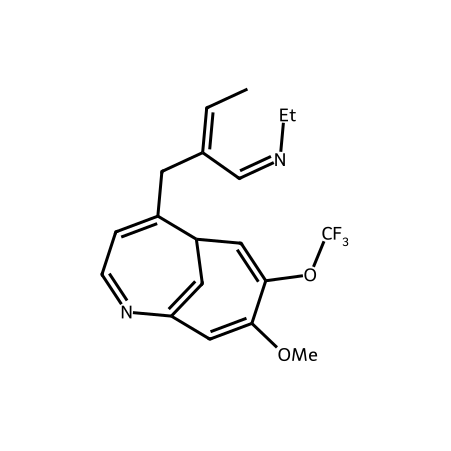 C/C=C(\C=N/CC)CC1=CC=NC2=CC1C=C(OC(F)(F)F)C(OC)=C2